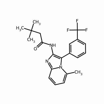 Cc1cccc2nc(NC(=O)CC(C)(C)C)c(-c3cccc(C(F)(F)F)c3)n12